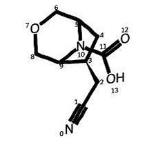 N#CC[C@@H]1CC2COCC1N2C(=O)O